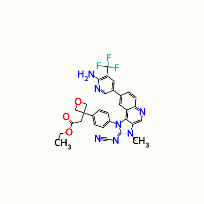 CCOC(=O)CC1(c2ccc(-n3/c(=N\C#N)n(C)c4cnc5ccc(-c6cnc(N)c(C(F)(F)F)c6)cc5c43)cc2)COC1